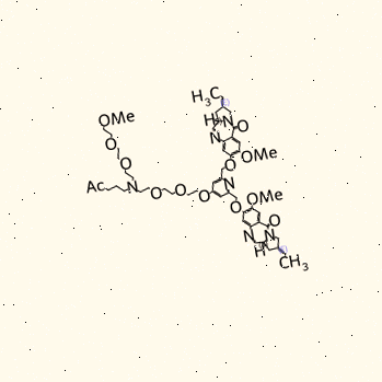 C/C=C1\C[C@H]2C=Nc3cc(OCc4cc(OCCOCCOCCN(CCCC(C)=O)CCOCCOCCOC)cc(COc5cc6c(cc5OC)C(=O)N5C/C(=C/C)C[C@H]5C=N6)n4)c(OC)cc3C(=O)N2C1